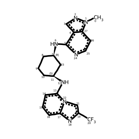 Cn1ncc2c(N[C@@H]3CCC[C@H](Nc4cccc5nc(C(F)(F)F)cn45)C3)nccc21